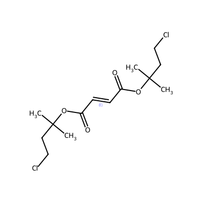 CC(C)(CCCl)OC(=O)/C=C/C(=O)OC(C)(C)CCCl